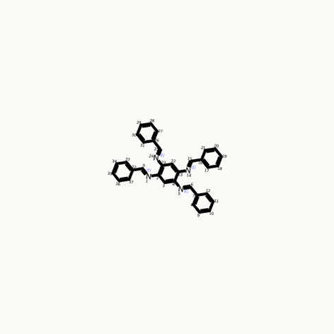 C(=N\c1cc(/N=C/c2ccccc2)c(/N=C/c2ccccc2)cc1/N=C/c1ccccc1)/c1ccccc1